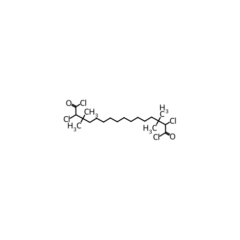 CC(C)(CCCCCCCCCCC(C)(C)C(Cl)C(=O)Cl)C(Cl)C(=O)Cl